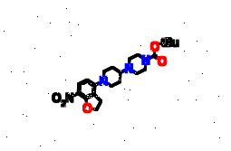 CC(C)(C)OC(=O)N1CCN(C2CCN(c3ccc([N+](=O)[O-])c4c3CCO4)CC2)CC1